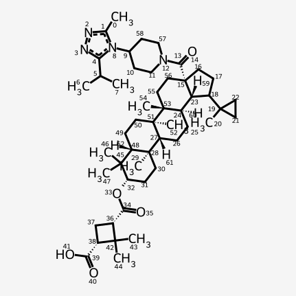 Cc1nnc(C(C)C)n1C1CCN(C(=O)[C@]23CCC(C4(C)CC4)[C@@H]2[C@H]2CC[C@@H]4[C@@]5(C)CC[C@H](OC(=O)[C@H]6C[C@@H](C(=O)O)C6(C)C)C(C)(C)[C@@H]5CC[C@@]4(C)[C@]2(C)CC3)CC1